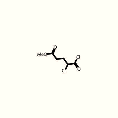 COC(=O)CCC(Cl)C(=O)Cl